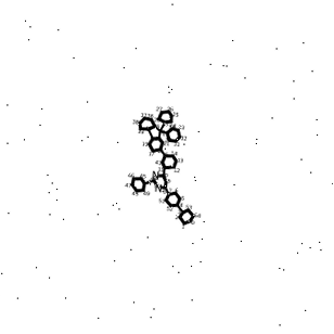 c1ccc(-c2ccc(-c3cc(-c4cccc(-c5ccc6c(c5)C(c5ccccc5)(c5ccccc5)c5ccccc5-6)c4)nc(-c4ccccc4)n3)cc2)cc1